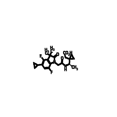 C[C@H](NC(=O)CN1C(=O)C(C)(C)c2c(F)c(C3CC3)cc(F)c21)C1(CC(=O)O)CC1